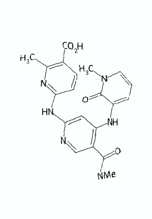 CNC(=O)c1cnc(Nc2ccc(C(=O)O)c(C)n2)cc1Nc1cccn(C)c1=O